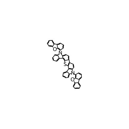 c1ccc2c(c1)oc1c(-n3c4ccccc4c4c5sc6c(ccc7c6c6ccccc6n7-c6cccc7c6oc6ccccc67)c5ccc43)cccc12